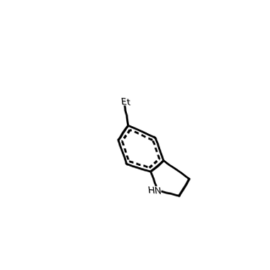 [CH2]Cc1ccc2c(c1)CCN2